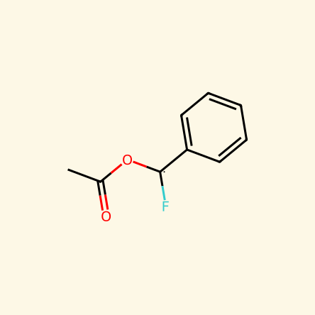 CC(=O)O[C](F)c1ccccc1